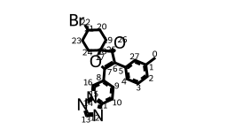 Cc1cccc(C2=C(c3ccc4ncnn4c3)OC3(CCC(Br)CC3)C2=O)c1